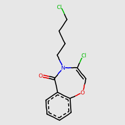 O=C1c2ccccc2OC=C(Cl)N1CCCCCl